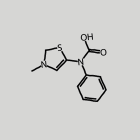 CN1C=C(N(C(=O)O)c2ccccc2)SC1